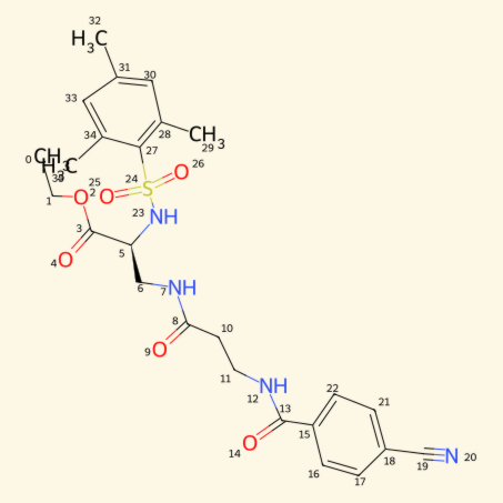 CCOC(=O)[C@H](CNC(=O)CCNC(=O)c1ccc(C#N)cc1)NS(=O)(=O)c1c(C)cc(C)cc1C